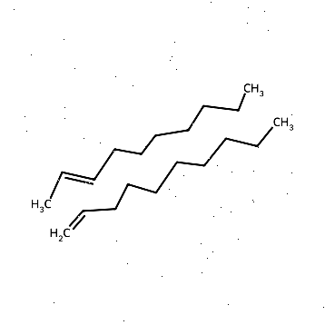 C=CCCCCCCCC.CC=CCCCCCCC